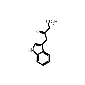 O=C(O)CC(=O)Cc1c[nH]c2ccccc12